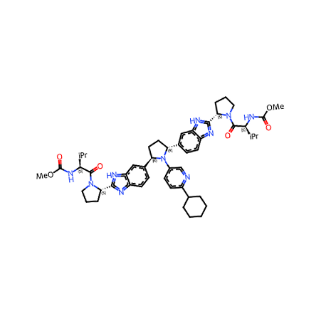 COC(=O)N[C@H](C(=O)N1CCC[C@H]1c1nc2ccc([C@H]3CC[C@H](c4ccc5nc([C@@H]6CCCN6C(=O)[C@@H](NC(=O)OC)C(C)C)[nH]c5c4)N3c3ccc(C4CCCCC4)nc3)cc2[nH]1)C(C)C